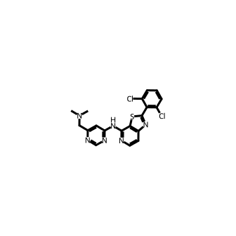 CN(C)Cc1cc(Nc2nccc3nc(-c4c(Cl)cccc4Cl)sc23)ncn1